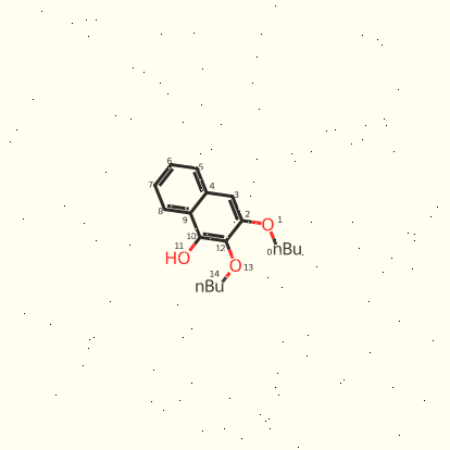 CCCCOc1cc2ccccc2c(O)c1OCCCC